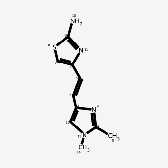 Cc1nc(C=Cc2csc(N)n2)cn1C